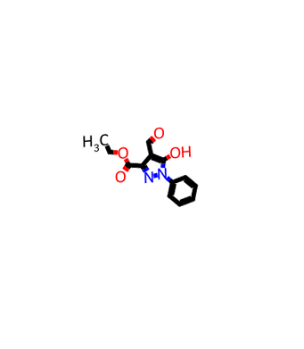 CCOC(=O)c1nn(-c2ccccc2)c(O)c1C=O